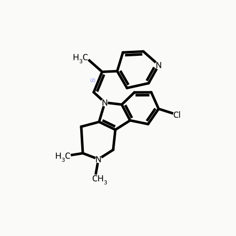 C/C(=C/n1c2c(c3cc(Cl)ccc31)CN(C)C(C)C2)c1ccncc1